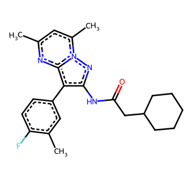 Cc1cc(C)n2nc(NC(=O)CC3CCCCC3)c(-c3ccc(F)c(C)c3)c2n1